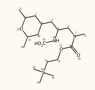 CC1CC(CC(CN(C)C(=O)OCC[Si](C)(C)C)NC(=O)O)CC(C)O1